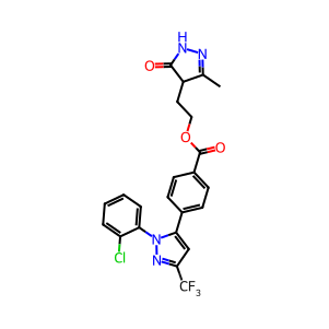 CC1=NNC(=O)C1CCOC(=O)c1ccc(-c2cc(C(F)(F)F)nn2-c2ccccc2Cl)cc1